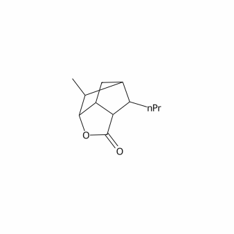 CCCC1C2CC3C(OC(=O)C13)C2C